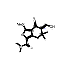 CSc1sc(C(=O)N(C)C)c2c1C(=O)/C(=C/O)C(C)(C)C2